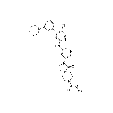 CC(C)(C)OC(=O)N1CCC2(CC1)CCN(c1cncc(Nc3ncc(Cl)c(-c4cccc(N5CCCCC5)c4)n3)c1)C2=O